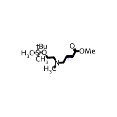 COC(=O)/C=C/CN(C)CCO[Si](C)(C)C(C)(C)C